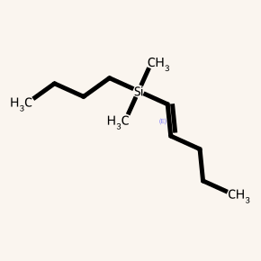 CCC/C=C/[Si](C)(C)CCCC